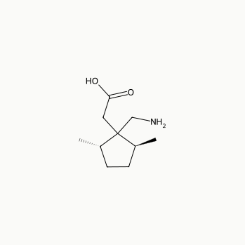 C[C@H]1CC[C@H](C)C1(CN)CC(=O)O